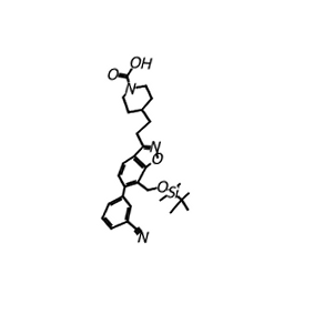 CC(C)(C)[Si](C)(C)OCc1c(-c2cccc(C#N)c2)ccc2c(CCC3CCN(C(=O)O)CC3)noc12